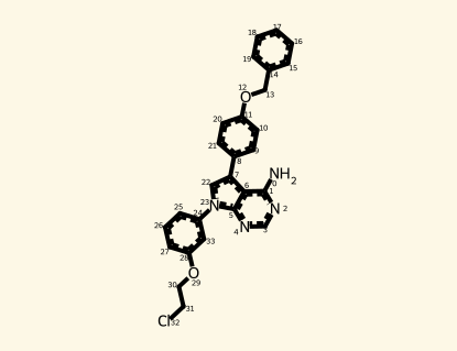 Nc1ncnc2c1c(-c1ccc(OCc3ccccc3)cc1)cn2-c1cccc(OCCCl)c1